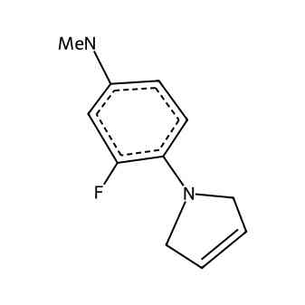 CNc1ccc(N2CC=CC2)c(F)c1